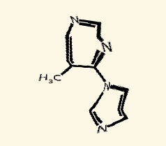 Cc1cncnc1-n1ccnc1